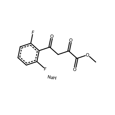 COC(=O)C(=O)CC(=O)c1c(F)cccc1F.[NaH]